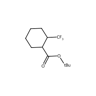 CC(C)(C)OC(=O)C1CCCCC1C(F)(F)F